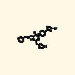 O=C(Cc1c[nH]cn1)NC(COCc1ccccc1)C(=O)Nc1ccc(-c2ncc(Br)s2)cc1